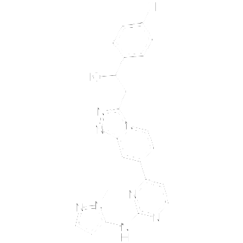 Cn1nccc1Nc1nccc(-c2ccn3c(CC(O)c4ccc(Cl)cc4)nnc3c2)n1